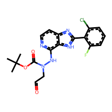 CC(C)(C)OC(=O)N(CC=O)Nc1nccc2nc(-c3c(F)cccc3Cl)[nH]c12